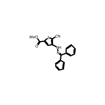 COC(=O)c1cc(NN=C(c2ccccc2)c2ccccc2)c(C#N)s1